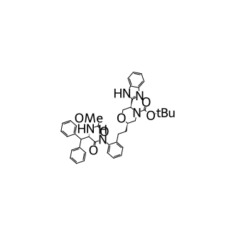 COC(=O)N[C@H](C(=O)Nc1ccccc1CC[C@@H]1CN(C(=O)OC(C)(C)C)[C@H](c2nc3ccccc3[nH]2)CO1)C(c1ccccc1)c1ccccc1